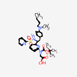 CCCCN(C)c1ccc(CC(NS(=O)(=O)c2ccccn2)c2cccc(N(CC(=O)O)C(=O)OC(C)(C)C)n2)cc1